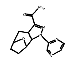 NC(=O)C1=NN(c2cnccn2)C2C3CCC(CC12)O3